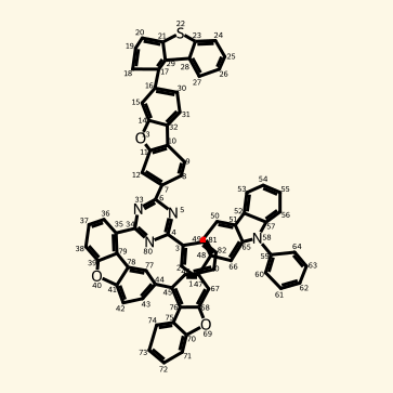 c1ccc(-c2nc(-c3ccc4c(c3)oc3cc(-c5cccc6sc7ccccc7c56)ccc34)nc(-c3cccc4oc5ccc(-c6cc(-c7ccc8c9ccccc9n(-c9ccccc9)c8c7)cc7oc8ccccc8c67)cc5c34)n2)cc1